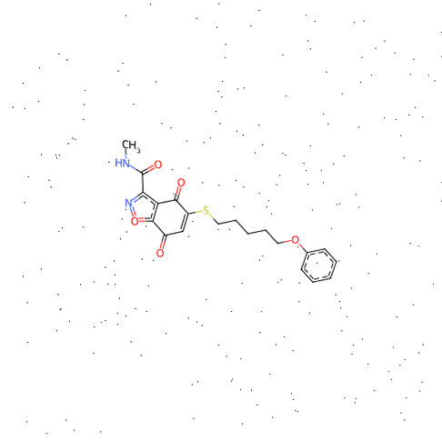 CNC(=O)c1noc2c1C(=O)C(SCCCCCOc1ccccc1)=CC2=O